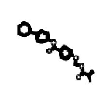 C=C(C)C(=O)OCOc1ccc(C(=O)Oc2ccc(C3CCCCC3)cc2)cc1